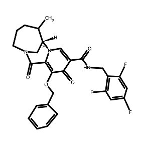 CC1CCCN2C[C@H]1n1cc(C(=O)NCc3c(F)cc(F)cc3F)c(=O)c(OCc3ccccc3)c1C2=O